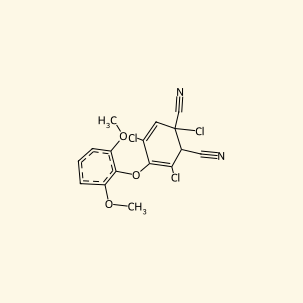 COc1cccc(OC)c1OC1=C(Cl)C(C#N)C(Cl)(C#N)C=C1Cl